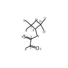 CC(=O)C(=S)CC1C(C)(C)CC1(C)C